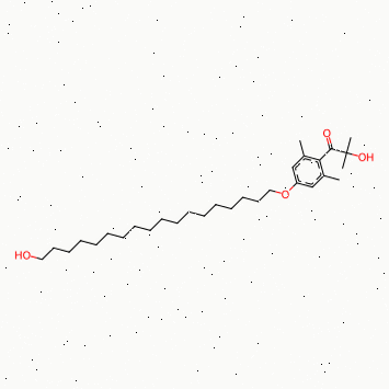 Cc1cc(OCCCCCCCCCCCCCCCCCCO)cc(C)c1C(=O)C(C)(C)O